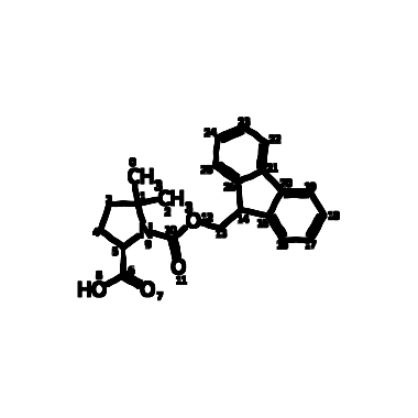 CC1(C)CC[C@H](C(=O)O)N1C(=O)OCC1c2ccccc2-c2ccccc21